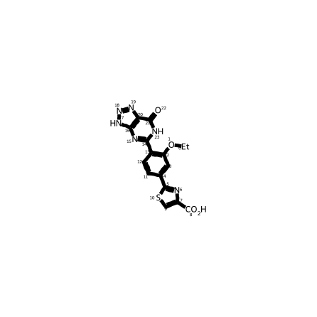 CCOc1cc(-c2nc(C(=O)O)cs2)ccc1-c1nc2[nH]nnc2c(=O)[nH]1